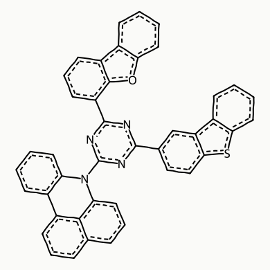 c1ccc2c(c1)-c1cccc3cccc(c13)N2c1nc(-c2ccc3sc4ccccc4c3c2)nc(-c2cccc3c2oc2ccccc23)n1